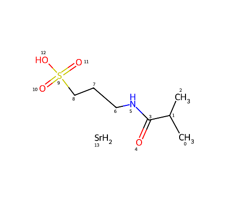 CC(C)C(=O)NCCCS(=O)(=O)O.[SrH2]